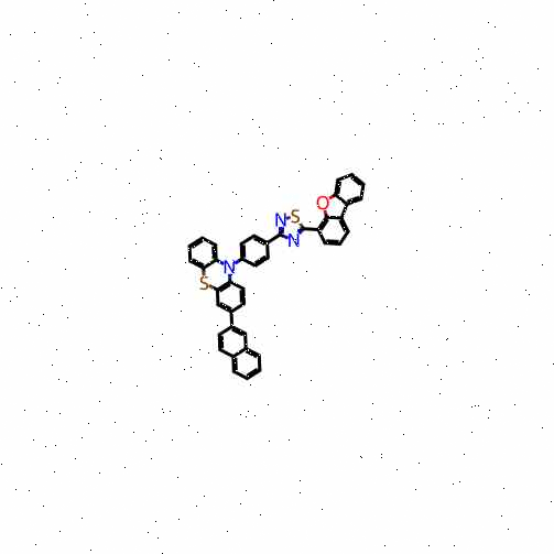 c1ccc2c(c1)Sc1cc(-c3ccc4ccccc4c3)ccc1N2c1ccc(-c2nsc(-c3cccc4c3oc3ccccc34)n2)cc1